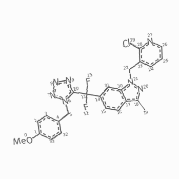 COc1ccc(Cn2nnnc2C(F)(F)c2ccc3c(C)nn(Cc4cccnc4Cl)c3c2)cc1